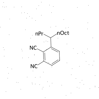 CCCCCCCCC(CCC)c1cccc(C#N)c1C#N